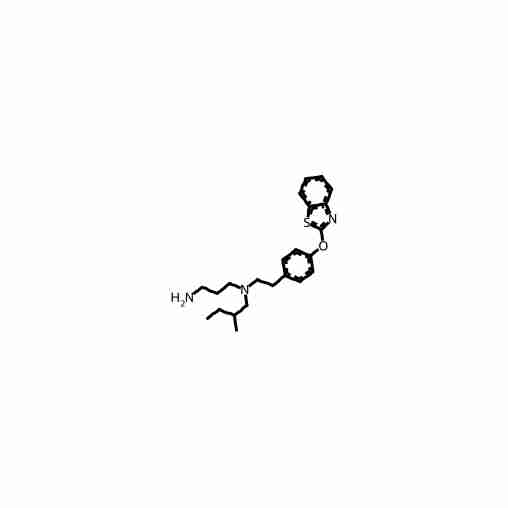 CCC(C)CN(CCCN)CCc1ccc(Oc2nc3ccccc3s2)cc1